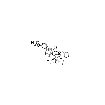 COc1ccc(CNC(=O)[C@@](N)(CSCC2CCCCC2)C(=O)OC(C)(C)C)cc1